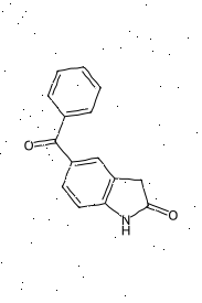 O=C1Cc2cc(C(=O)c3ccccc3)ccc2N1